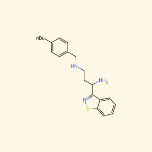 CCCCc1ccc(CNCCC(N)c2nsc3ccccc23)cc1